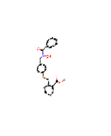 COC(=O)c1ccccc1CSc1ccc(CN(O)C(=O)c2ccccc2)cc1